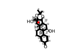 CC1(C)O[C@H]2C[C@H]3[C@@H]4CCC5=CC(=O)C=C[C@]5(C)C4(F)[C@@H](O)C[C@]3(C)[C@]2(C(=O)CO)O1